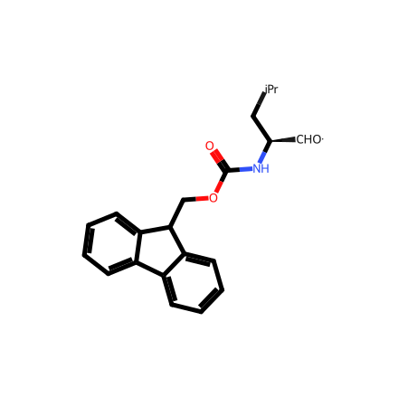 CC(C)C[C@@H]([C]=O)NC(=O)OCC1c2ccccc2-c2ccccc21